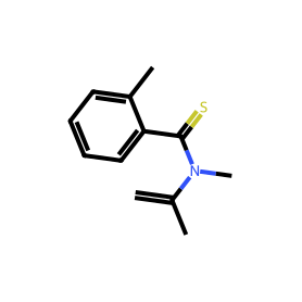 C=C(C)N(C)C(=S)c1ccccc1C